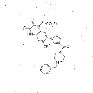 CCOC(=O)Cn1c(=O)c(=O)[nH]c2cc(C(F)(F)F)c(-n3ccc(C(=O)N4CCN(Cc5ccccc5)CC4)c3)cc21